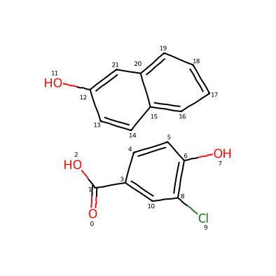 O=C(O)c1ccc(O)c(Cl)c1.Oc1ccc2ccccc2c1